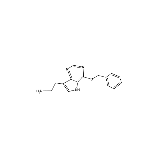 NCCc1c[nH]c2c(OCc3ccccc3)ncnc12